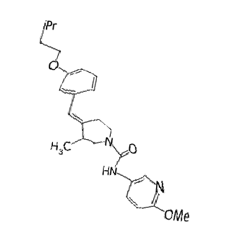 COc1ccc(NC(=O)N2CC/C(=C\c3cccc(OCCC(C)C)c3)C(C)C2)cn1